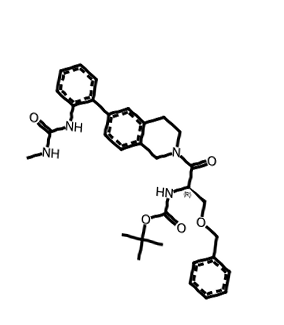 CNC(=O)Nc1ccccc1-c1ccc2c(c1)CCN(C(=O)[C@@H](COCc1ccccc1)NC(=O)OC(C)(C)C)C2